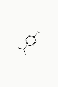 Oc1ccc(C(F)F)nc1